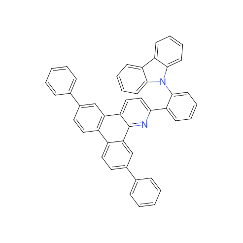 c1ccc(-c2ccc3c(c2)c2ccc(-c4ccccc4-n4c5ccccc5c5ccccc54)nc2c2cc(-c4ccccc4)ccc32)cc1